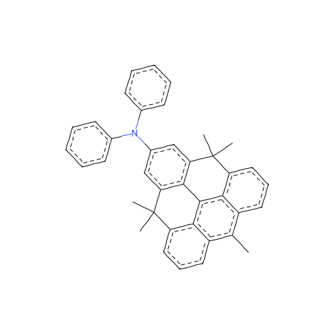 Cc1c2cccc3c2c2c4c(cccc14)C(C)(C)c1cc(N(c4ccccc4)c4ccccc4)cc(c1-2)C3(C)C